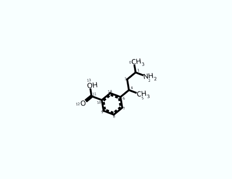 CC(N)CC(C)c1cccc(C(=O)O)c1